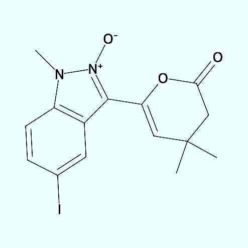 Cn1c2ccc(I)cc2c(C2=CC(C)(C)CC(=O)O2)[n+]1[O-]